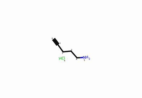 C#CCCCN.Cl